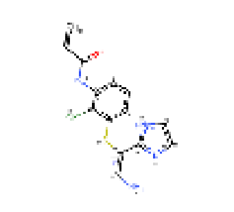 C=CC(=O)Nc1cccc(S/C(=C/N)c2ncc[nH]2)c1Cl